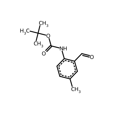 Cc1ccc(NC(=O)OC(C)(C)C)c(C=O)c1